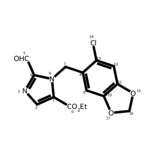 CCOC(=O)c1[c]nc(C=O)n1Cc1cc2c(cc1Cl)OCO2